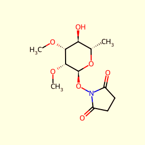 CO[C@@H]1[C@@H](O)[C@H](C)O[C@@H](ON2C(=O)CCC2=O)[C@@H]1OC